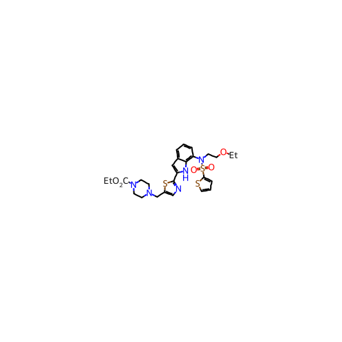 CCOCCN(c1cccc2cc(-c3ncc(CN4CCN(C(=O)OCC)CC4)s3)[nH]c12)S(=O)(=O)c1cccs1